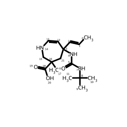 CC=CC1(NC(=O)BC(C)(C)C)C=CNCC(C)(C(=O)O)C1